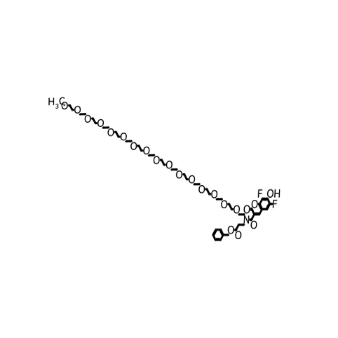 COCCOCCOCCOCCOCCOCCOCCOCCOCCOCCOCCOCCOCCOCCOCCOCCN(CCC(=O)OCc1ccccc1)C(=O)c1cc2cc(F)c(O)c(F)c2oc1=O